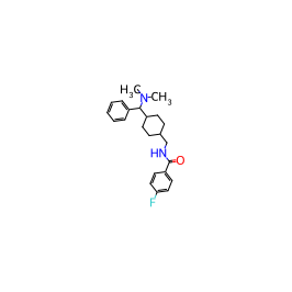 CN(C)C(c1ccccc1)C1CCC(CNC(=O)c2ccc(F)cc2)CC1